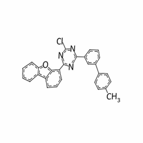 Cc1ccc(-c2cccc(-c3nc(Cl)nc(-c4cccc5c4oc4ccccc45)n3)c2)cc1